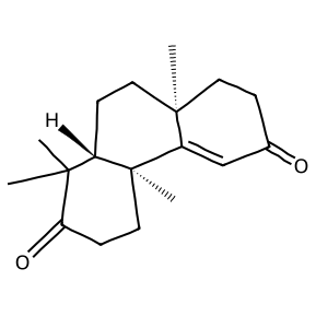 CC1(C)C(=O)CC[C@]2(C)C3=CC(=O)CC[C@]3(C)CC[C@@H]12